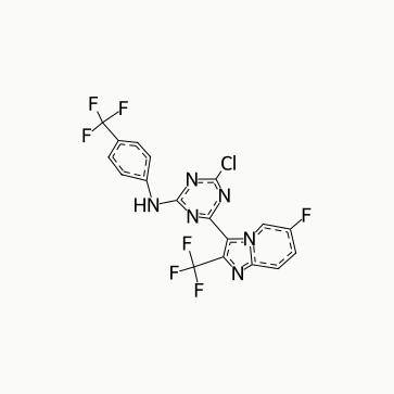 Fc1ccc2nc(C(F)(F)F)c(-c3nc(Cl)nc(Nc4ccc(C(F)(F)F)cc4)n3)n2c1